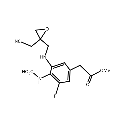 COC(=O)Cc1cc(F)c(NC(=O)O)c(NCC2(CC#N)CO2)c1